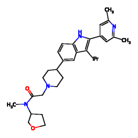 Cc1cc(-c2[nH]c3ccc(C4CCN(CC(=O)N(C)C5CCOC5)CC4)cc3c2C(C)C)cc(C)n1